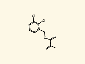 C=C(C)C(=O)OCc1cccc(Cl)c1Cl